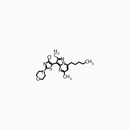 CCCCCc1cc(C)nc2c(-c3sc(N4CCOCC4)nc3Cl)c(C)nn12